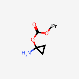 CC(C)OC(=O)OC1(N)CC1